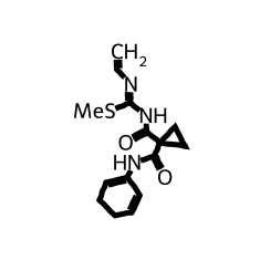 C=C/N=C(/NC(=O)C1(C(=O)NC2=CCCC=C2)CC1)SC